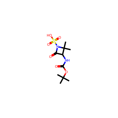 CC(C)(C)OC(=O)NC1C(=O)N(S(=O)(=O)O)C1(C)C